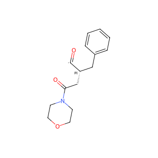 O=[C][C@@H](CC(=O)N1CCOCC1)Cc1ccccc1